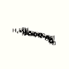 CCC(C)n1ncn(-c2ccc(N3CCN(c4ccc(OC[C@H]5COC(c6ccc(Cl)cc6Cl)O5)cc4)CC3)cc2)c1=O